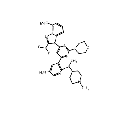 COc1cccc2c1nc(C(F)F)n2-c1nc(-c2cc(N)cnc2N(C)C2CCN(C)CC2)nc(N2CCOCC2)n1